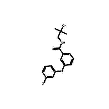 CC(C)(O)CNC(=O)c1cccc(Oc2cc[c]c(Cl)c2)c1